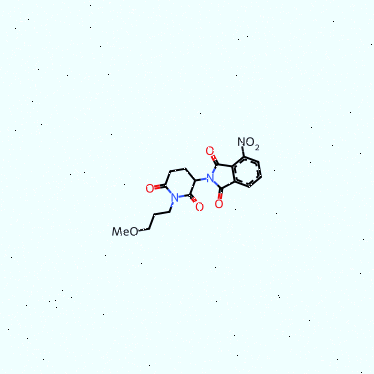 COCCCN1C(=O)CCC(N2C(=O)c3cccc([N+](=O)[O-])c3C2=O)C1=O